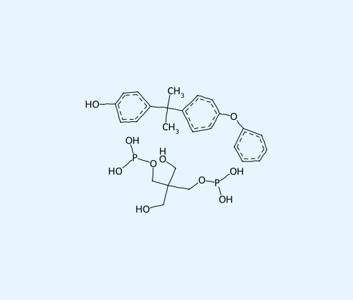 CC(C)(c1ccc(O)cc1)c1ccc(Oc2ccccc2)cc1.OCC(CO)(COP(O)O)COP(O)O